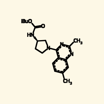 Cc1ccc2c(N3CC[C@@H](NC(=O)OCC(C)C)C3)nc(C)nc2c1